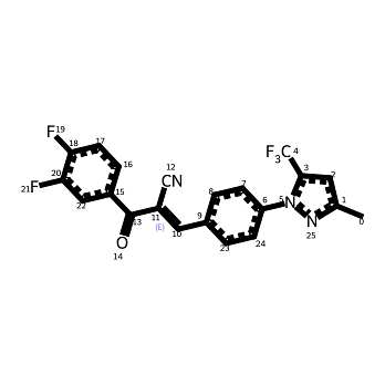 Cc1cc(C(F)(F)F)n(-c2ccc(/C=C(\C#N)C(=O)c3ccc(F)c(F)c3)cc2)n1